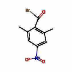 Cc1cc([N+](=O)[O-])cc(C)c1C(=O)Br